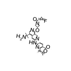 C[C@@H]1OC(=O)c2ccc(Nc3cc4c(C(C)(C)N)cnc(OC5CN(C(=O)[C@@H]6C[C@@H]6F)C5)c4cn3)nc2[C@H]1C